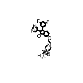 CS(=O)(=O)N1CCN(CCOc2ccc3c(c2)C(=O)C(c2cncnc2)=C3c2cc(F)cc(F)c2)CC1